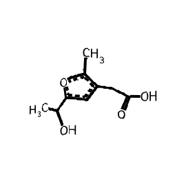 Cc1oc(C(C)O)cc1CC(=O)O